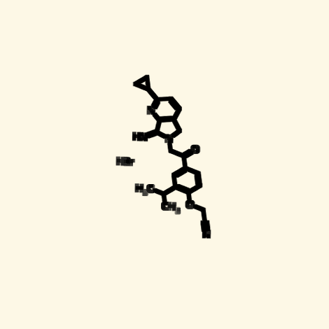 Br.CC(C)c1cc(C(=O)CN2Cc3ccc(C4CC4)nc3C2=N)ccc1OCC#N